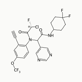 C#Cc1cc(OC(F)(F)F)ccc1N(C(=O)[C@H](F)Cl)C(C(=O)NC1CCC(F)(F)CC1)c1cncnc1